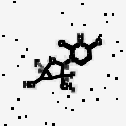 C[C@@]1(F)C2C(O)[C@@]2(F)O[C@H]1n1ccc(=O)[nH]c1=O